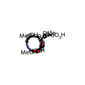 CO[C@H]1C[C@@H]2CC[C@@H](C)[C@@](O)(O2)C(=O)C(=O)N2CCCC[C@H]2C(=O)O[C@H]([C@H](C)C[C@@H]2CC[C@@H](OCCCS(=O)(=O)O)[C@H](OC)C2)CC(=O)[C@H](C)/C=C(\C)[C@H](O)[C@@H](OC)C(=O)[C@H](C)C[C@H](C)/C=C/C=C/C=C/1C